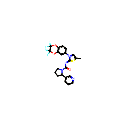 Cc1cn(-c2ccc3c(c2)OC(F)(F)C(F)(F)O3)c(=NC(=O)N2CCCC2c2cccnc2)s1